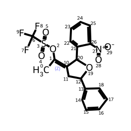 C/C(OS(=O)(=O)C(F)(F)F)=C1\CC(c2ccccc2)OC1c1ccccc1[N+](=O)[O-]